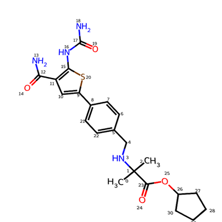 CC(C)(NCc1ccc(-c2cc(C(N)=O)c(NC(N)=O)s2)cc1)C(=O)OC1CCCC1